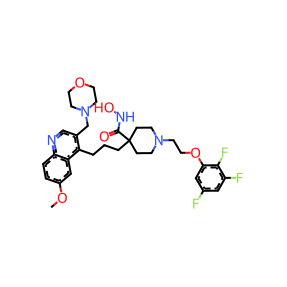 COc1ccc2ncc(CN3CCOCC3)c(CCCC3(C(=O)NO)CCN(CCOc4cc(F)cc(F)c4F)CC3)c2c1